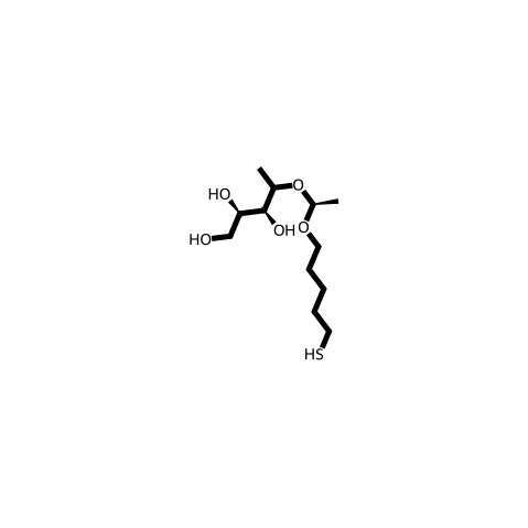 CC(O[C@@H](C)OCCCCCS)[C@@H](O)[C@H](O)CO